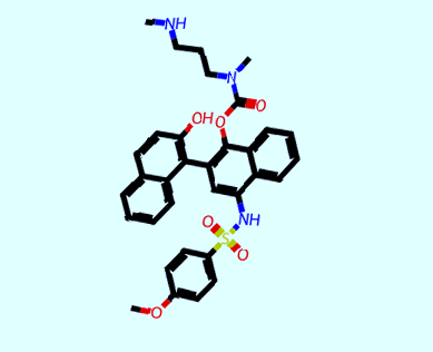 CNCCCN(C)C(=O)Oc1c(-c2c(O)ccc3ccccc23)cc(NS(=O)(=O)c2ccc(OC)cc2)c2ccccc12